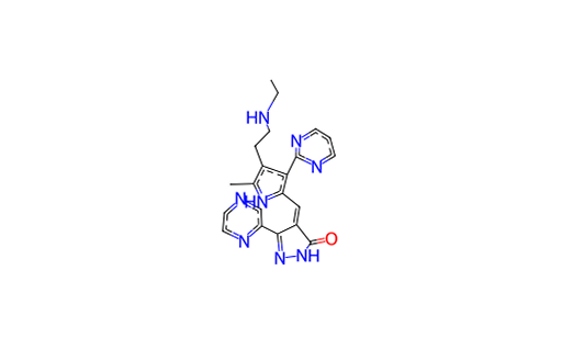 CCNCCc1c(C)[nH]c(/C=C2/C(=O)NN=C2c2cnccn2)c1-c1ncccn1